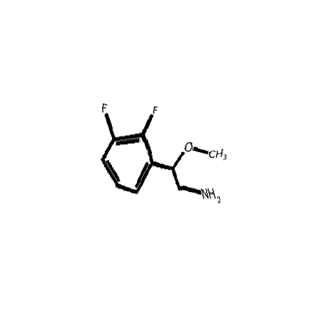 COC(CN)c1cccc(F)c1F